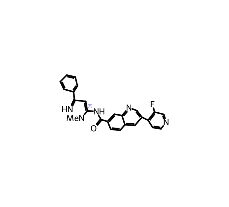 CN/C(=C\C(=N)c1ccccc1)NC(=O)c1ccc2cc(-c3ccncc3F)cnc2c1